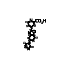 O=C(O)c1cc(-c2nc3cc(-c4cnsc4)ccc3o2)ccn1